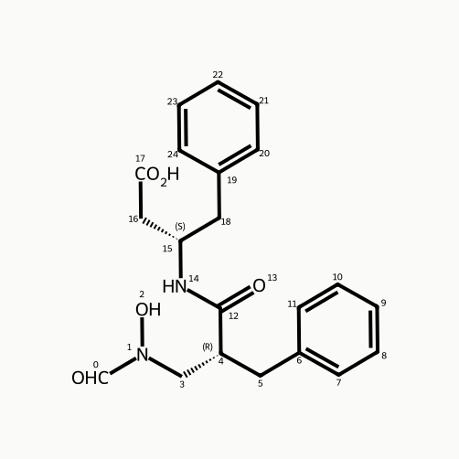 O=CN(O)C[C@@H](Cc1ccccc1)C(=O)N[C@H](CC(=O)O)Cc1ccccc1